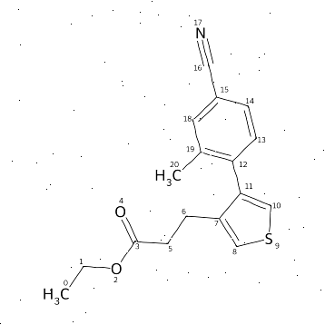 CCOC(=O)CCc1cscc1-c1ccc(C#N)cc1C